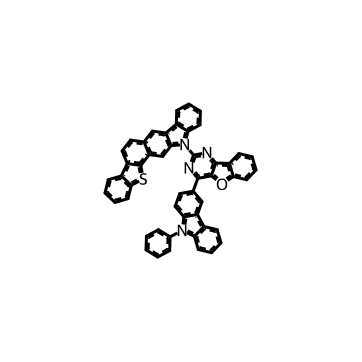 c1ccc(-n2c3ccccc3c3cc(-c4nc(-n5c6ccccc6c6cc7ccc8c9ccccc9sc8c7cc65)nc5c4oc4ccccc45)ccc32)cc1